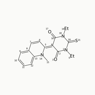 CCN1C(=O)C(=C2C=Cc3ccccc3N2C)C(=O)N(CC)C1=S